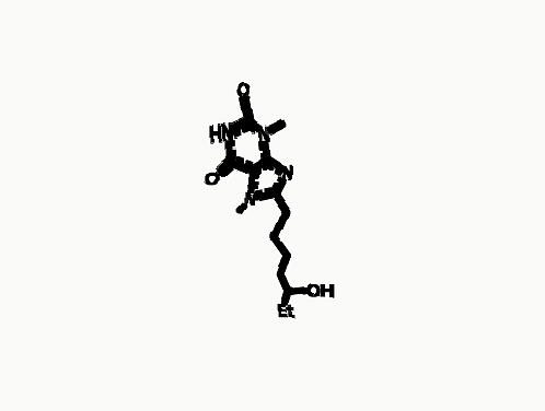 CCC(O)CCCCc1nc2c(c(=O)[nH]c(=O)n2C)n1C